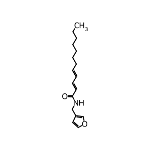 CCCCCCC/C=C/C=C/C(=O)NCc1ccoc1